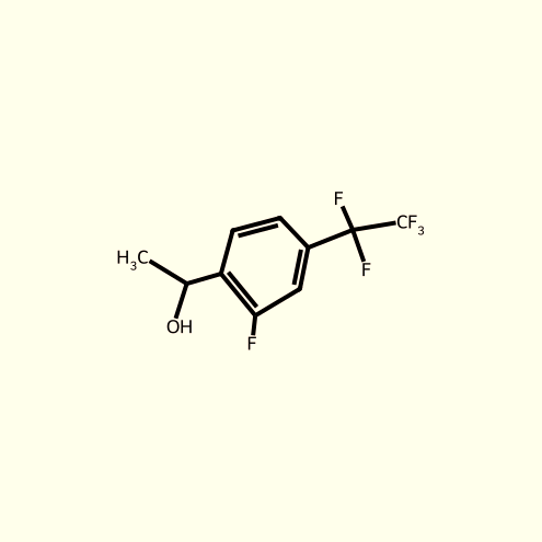 CC(O)c1ccc(C(F)(F)C(F)(F)F)cc1F